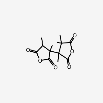 CC1C(=O)OC(=O)C1(C)C1(C)C(=O)OC(=O)C1(C)C